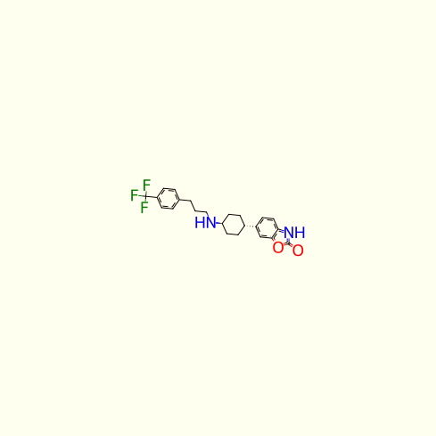 O=c1[nH]c2ccc([C@H]3CC[C@H](NCCCc4ccc(C(F)(F)F)cc4)CC3)cc2o1